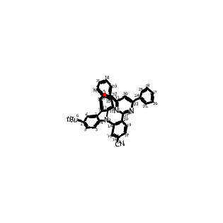 CC(C)(C)c1ccc2c(c1)c1ccccc1n2-c1cc(C#N)ccc1-c1nc(-c2ccccc2)cc(-c2ccccc2)n1